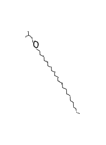 CCCCCCCCCCCCCCCCCCCCCCCCOCCC(C)C